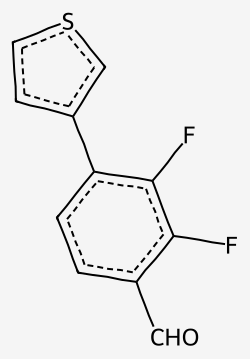 O=Cc1ccc(-c2ccsc2)c(F)c1F